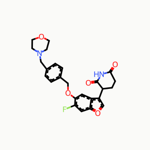 O=C1CCC(c2coc3cc(F)c(OCc4ccc(CN5CCOCC5)cc4)cc23)C(=O)N1